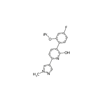 CC(C)Oc1cc(F)ccc1-c1ccc(-c2cnn(C)c2)nc1O